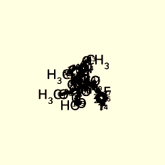 COCCOC(COC(=O)O)c1c2n(cc(C(=O)NCc3ccc(F)cc3F)c1=O)[C@@H]1CN(C2=O)[C@@H](C)CC[C@]12CC(OC)=NO2